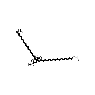 CCCCCCCCCCCCCCCCCCC(CCCCCCCCCCCCCCCCCC)(CC(=O)O)C(=O)O